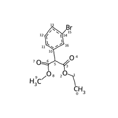 CCOC(=O)C(C(=O)OC)c1cccc(Br)c1